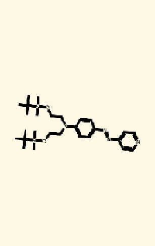 CC(C)(C)[Si](C)(C)OCCN(CCO[Si](C)(C)C(C)(C)C)c1ccc(N=Nc2ccncc2)cc1